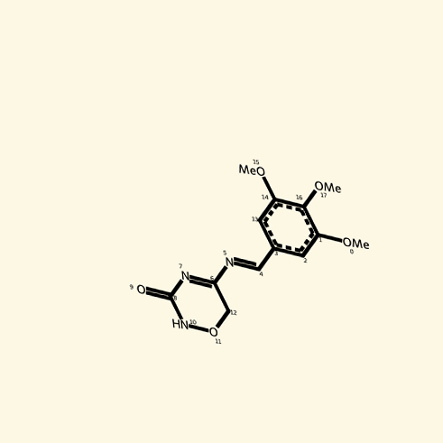 COc1cc(C=NC2=NC(=O)NOC2)cc(OC)c1OC